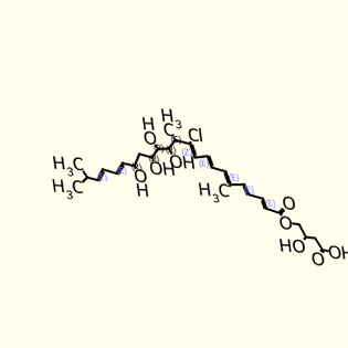 CC(/C=C/C=C/C(=O)OCC(O)CC(=O)O)=C\C=C\C=C(/Cl)[C@@H](C)[C@@H](O)[C@H](O)[C@H](O)C[C@@H](O)/C=C/C=C/C(C)C